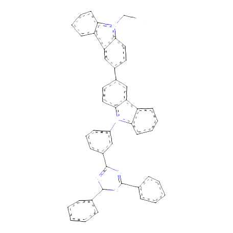 CCn1c2ccccc2c2cc(-c3ccc4c(c3)c3ccccc3n4-c3cccc(C4=NC(c5ccccc5)NC(c5ccccc5)=N4)c3)ccc21